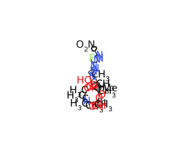 CC[C@H]1OC(=O)[C@H](C)[C@@H](OC)[C@H](C)[C@@H](O[C@@H]2O[C@H](C)C[C@H](N(C)CCc3cn(C(CF)Cn4cc(-c5ccc([N+](=O)[O-])cc5)nn4)nn3)[C@H]2O)[C@](C)(O)C[C@@H](C)CN(C)[C@H](C)[C@@H](O)[C@]1(C)O